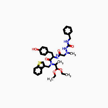 CCOC(OCC)C(C)N(Cc1csc2ccccc12)C(=O)C(Cc1ccc(O)cc1)NC(=O)CN(C)NC(=O)NCc1ccccc1